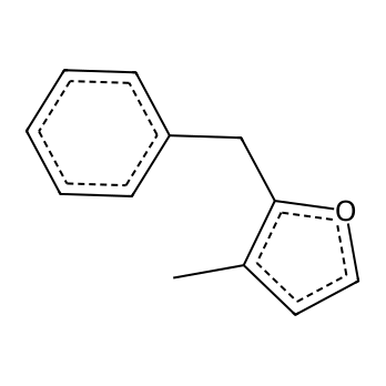 Cc1ccoc1Cc1ccccc1